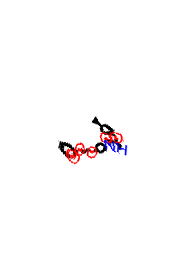 CC=C(Oc1ccc(C2CC2)cc1)C(=O)NC1CCC(OCCOC2CCCCO2)CC1